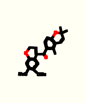 COc1cc2c(cc1OC)C(C(=O)c1ccc3c(c1C)C=CC(C)(C)O3)=CCO2